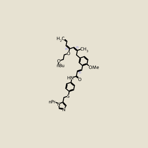 C=C/C=C(\C=C(\C)Cc1ccc(OC)c(/C=C/C(=O)Nc2ccc(SCc3cncn3CCC)cc2)c1)OCCOCCCC